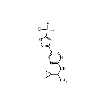 CC(Nc1ncc(-c2noc(C(F)(F)Cl)n2)cn1)C1CC1